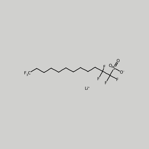 O=S(=O)([O-])C(F)(F)C(F)(F)CCCCCCCCCC(F)(F)F.[Li+]